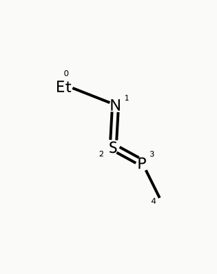 CCN=S=PC